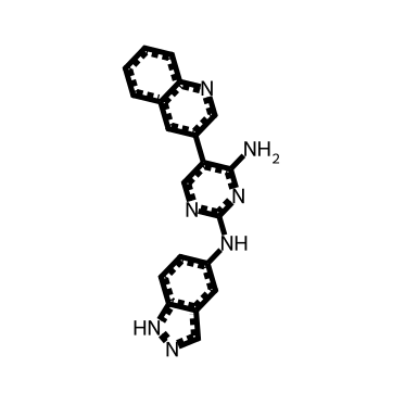 Nc1nc(Nc2ccc3[nH]ncc3c2)ncc1-c1cnc2ccccc2c1